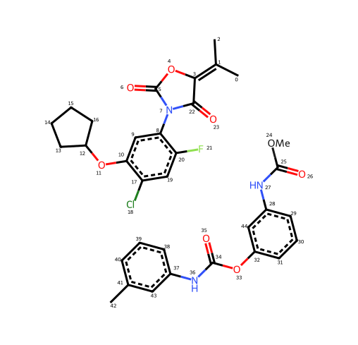 CC(C)=C1OC(=O)N(c2cc(OC3CCCC3)c(Cl)cc2F)C1=O.COC(=O)Nc1cccc(OC(=O)Nc2cccc(C)c2)c1